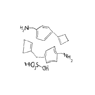 Nc1ccc(C2=CCC2)cc1.Nc1ccc(CC2=CCC2)cc1.O=S(=O)(O)O